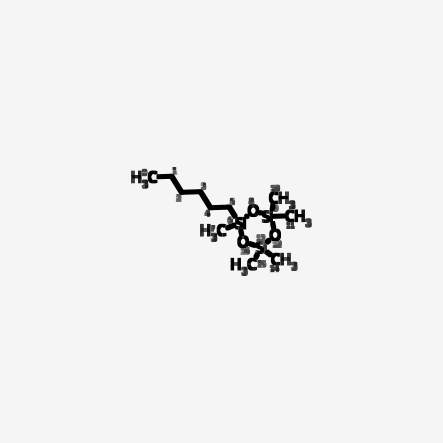 CCCCCC[Si]1(C)O[Si](C)(C)O[Si](C)(C)O1